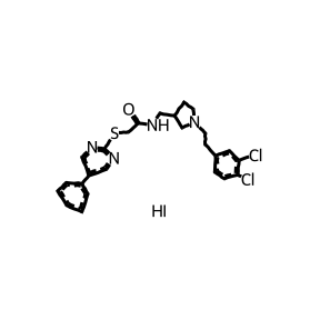 I.O=C(CSc1ncc(-c2ccccc2)cn1)NCC1CCN(CCc2ccc(Cl)c(Cl)c2)C1